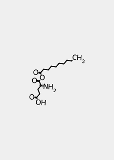 CCCCCCCCCC(=O)OC(=O)[C@@H](N)CCC(=O)O